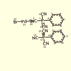 N#C[PH](C#N)(C#N)c1ccccc1.N#C[PH](C#N)(C#N)c1ccccc1.[Br][Pd][Br]